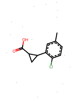 Cc1ccc(Cl)c(C2CC2C(=O)O)c1